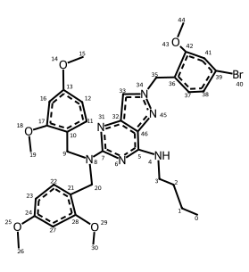 CCCCNc1nc(N(Cc2ccc(OC)cc2OC)Cc2ccc(OC)cc2OC)nc2cn(Cc3ccc(Br)cc3OC)nc12